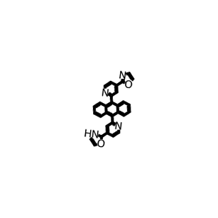 C1=COC(c2ccnc(-c3c4ccccc4c(-c4cc(-c5ncco5)ccn4)c4ccccc34)c2)N1